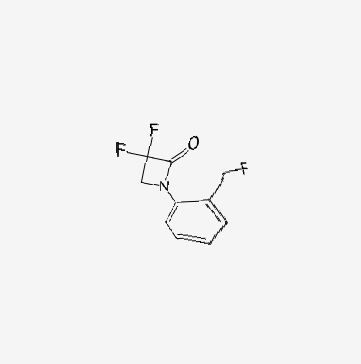 O=C1N(c2ccccc2CF)CC1(F)F